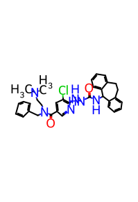 CN(C)CCN(Cc1ccccc1)C(=O)c1cnc(NNC(=O)NC2c3ccccc3CCc3ccccc32)c(Cl)c1